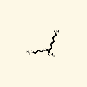 CCC[CH]CCC(C)OCCCC